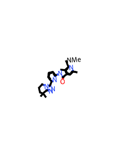 CNCc1nc(C)cc2c1CN(c1cccc(-c3nnc4n3CCCC4(C)C)n1)C2=O